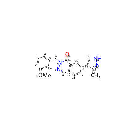 COc1cccc(Cn2ncc3ccc(-c4c[nH]nc4C)cc3c2=O)c1